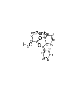 CCCCC/C=C(/C)C(=O)OC(c1ccccc1)c1ccccc1